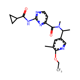 Cc1cc(C(C)N(C)C(=O)c2ccnc(NC(=O)C3CC3)n2)cnc1OCC(F)(F)F